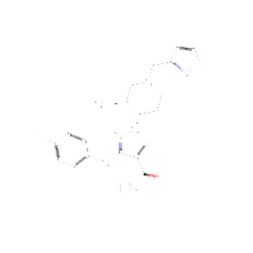 N#C[C@H]1CN(Cc2ccon2)CC[C@H]1n1cc(C(N)=O)c(Nc2ccc(F)cc2)n1